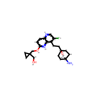 NC12CCC(CCc3c(F)cnc4ccc(OCC5(CO)CC5)nc34)(CC1)OC2